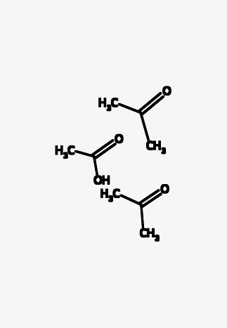 CC(=O)O.CC(C)=O.CC(C)=O